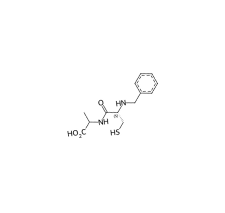 CC(NC(=O)[C@@H](CS)NCc1ccccc1)C(=O)O